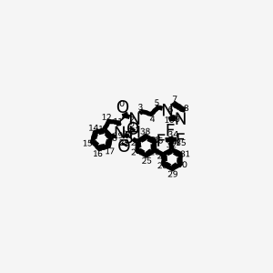 O=C(NCCCn1ccnc1)[C@@H]1Cc2ccccc2N1S(=O)(=O)c1ccc(-c2ccccc2C(F)(F)F)cc1